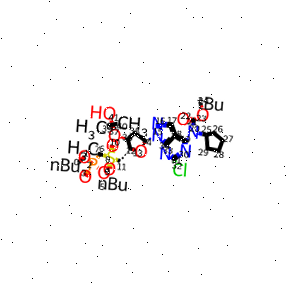 CCCCOP(=O)(OCCCC)[C@H](C)S(=O)(=O)C[C@H]1O[C@@H](n2ncc3c(N(C(=O)OC(C)(C)C)C4CCCC4)nc(Cl)nc32)C[C@@H]1OC(C)(C)O